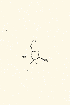 B[C@@H]1O[C@H](CO)[C@@H](O)C1(C)C